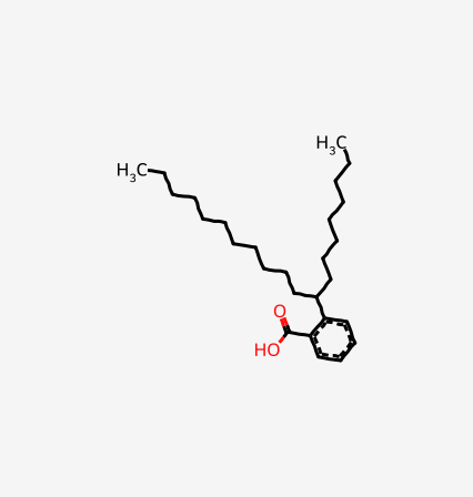 CCCCCCCCCCCC(CCCCCCCC)c1ccccc1C(=O)O